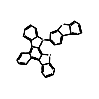 c1ccc2c(c1)oc1c2c2ccccc2c2c3ccccc3n(-c3ccc4c(c3)sc3ccccc34)c12